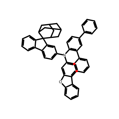 c1ccc(-c2ccc(N(c3ccc4c(c3)C3(c5ccccc5-4)C4CC5CC(C4)CC3C5)c3ccc4c(c3)oc3ccccc34)c(-c3ccccc3)c2)cc1